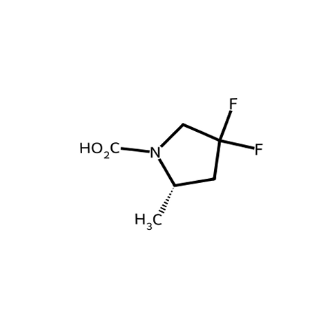 C[C@H]1CC(F)(F)CN1C(=O)O